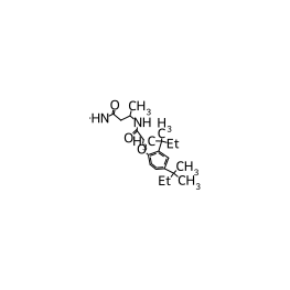 CCC(C)(C)c1ccc(OCC(=O)NC(C)CC([NH])=O)c(C(C)(C)CC)c1